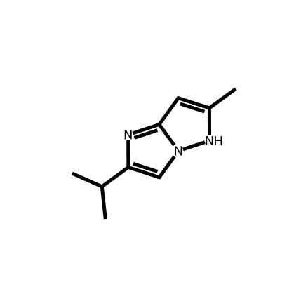 Cc1cc2nc(C(C)C)cn2[nH]1